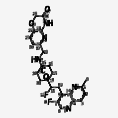 Cc1ccc2ncc(F)c(CC(F)C34CCC(NCc5ccc6c(n5)NC(=O)CO6)(CC3)CO4)c2n1